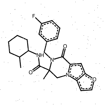 CC1CCCCC1NC(=O)C1(C)Cn2c(cc3occc32)C(=O)N1Cc1cccc(F)c1